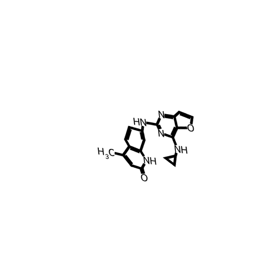 Cc1cc(=O)[nH]c2cc(Nc3nc(NC4CC4)c4occc4n3)ccc12